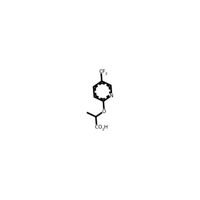 CC(Oc1ccc(C(F)(F)F)cn1)C(=O)O